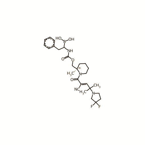 CC(C)(C=C(C#N)C(=O)N1CCCC[C@]1(C)COC(=O)NC(Cc1ccccc1)B(O)O)N1CCC(F)(F)C1